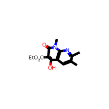 CCOC(=O)c1c(O)c2cc(C)c(C)nc2n(C)c1=O